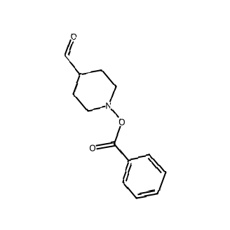 O=CC1CCN(OC(=O)c2ccccc2)CC1